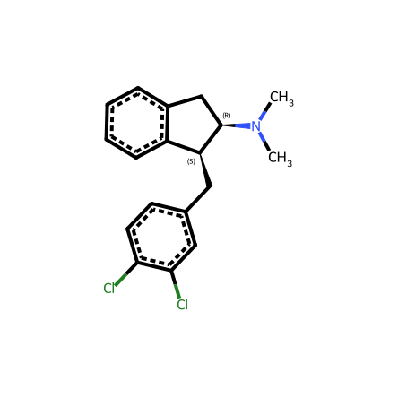 CN(C)[C@@H]1Cc2ccccc2[C@@H]1Cc1ccc(Cl)c(Cl)c1